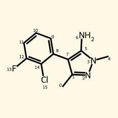 Cc1nn(C)c(N)c1-c1cccc(F)c1Cl